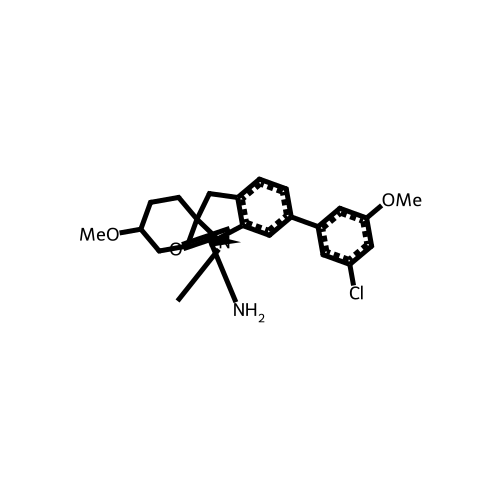 COc1cc(Cl)cc(-c2ccc3c(c2)C2(C=C(N)N(C)C2=O)C2(CCC(OC)CC2)C3)c1